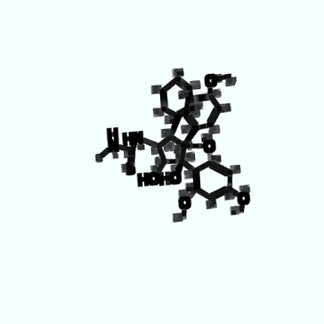 CNC(=S)NC1C(O)[C@@]2(O)c3c(OC)cc(OC)cc3O[C@@]2(c2ccc(OC)cc2)[C@@H]1c1ccccc1